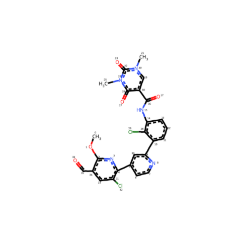 COc1nc(-c2ccnc(-c3cccc(NC(=O)c4cn(C)c(=O)n(C)c4=O)c3Cl)c2)c(Cl)cc1C=O